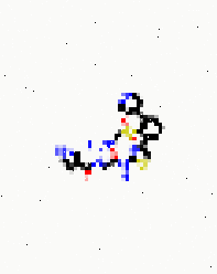 NCCS(=O)(=O)c1c(-c2ccncc2)cccc1-c1csc(NC(=O)CNC(=O)c2cc[nH]c2)n1